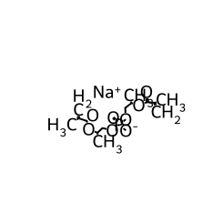 C=C(C)C(=O)OC(C)COP(=O)([O-])OCC(C)OC(=O)C(=C)C.[Na+]